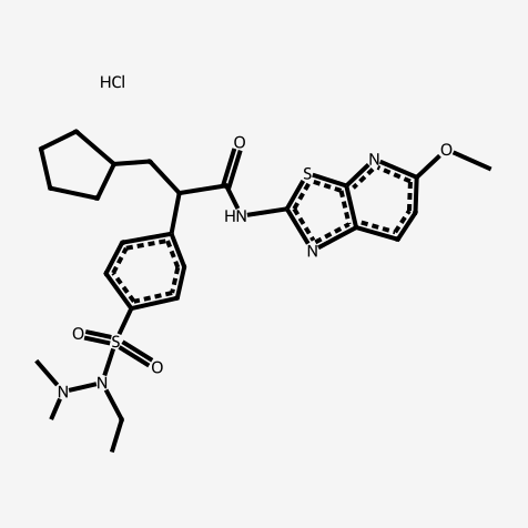 CCN(N(C)C)S(=O)(=O)c1ccc(C(CC2CCCC2)C(=O)Nc2nc3ccc(OC)nc3s2)cc1.Cl